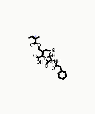 C/C=C(/C)C(=O)OCC1=C(C(=O)O)N2C(=O)[C@@H](NC(=O)Cc3ccccc3)[C@H]2[S+]([O-])C1